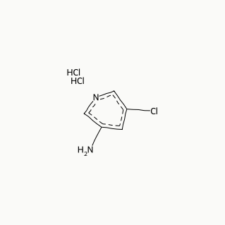 Cl.Cl.Nc1cncc(Cl)c1